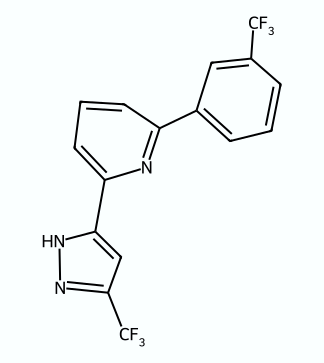 FC(F)(F)c1cccc(-c2cccc(-c3cc(C(F)(F)F)n[nH]3)n2)c1